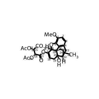 COc1ccc2c3c1O[C@H]1C(OC(=O)[C@H](OC(C)=O)[C@@H](OC(C)=O)C(=O)O)=CC[C@@]4(O)[C@@H](C2)C(C)CC[C@]314